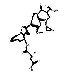 COc1c(-c2cc3c(s2)CCCC3NC(=O)[C@H](N)CC(=O)O)ccc2c(=O)c(C(=O)O)cn(C3CC3)c12